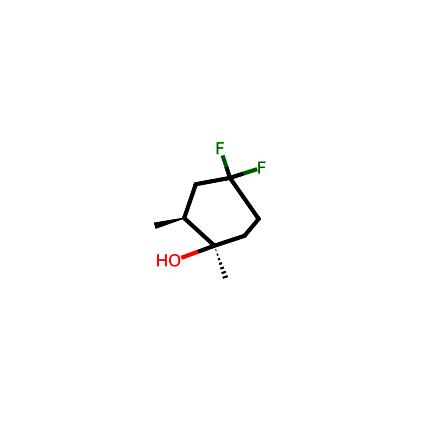 C[C@H]1CC(F)(F)CC[C@@]1(C)O